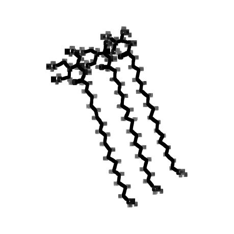 CCCCCCCCCCCCCCCCCCCC(=O)NC(C)N(C)C.CCCCCCCCCCCCCCCCCCCC(=O)NC(C)N(CC)CC.CCCCCCCCCCCCCCCCCCCC(=O)NC(CC)N(CC)CC